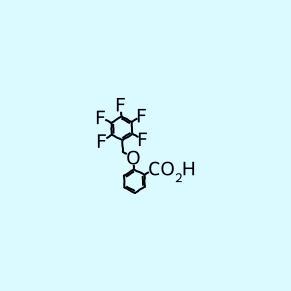 O=C(O)c1ccccc1OCc1c(F)c(F)c(F)c(F)c1F